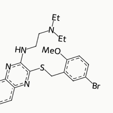 CCN(CC)CCNc1nc2ccccc2nc1SCc1cc(Br)ccc1OC